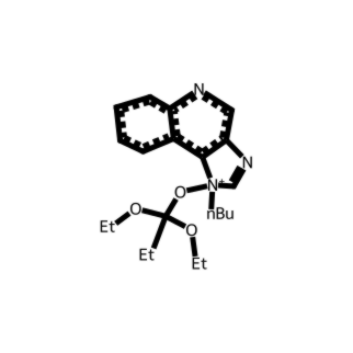 CCCC[N+]1(OC(CC)(OCC)OCC)C=Nc2cnc3ccccc3c21